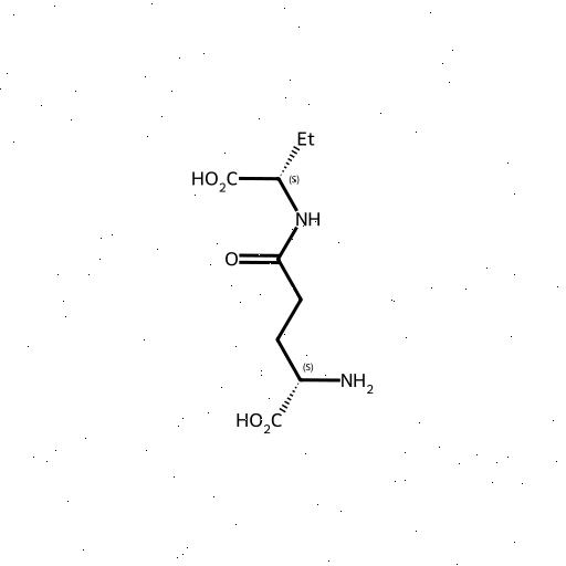 CC[C@H](NC(=O)CC[C@H](N)C(=O)O)C(=O)O